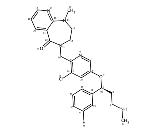 CNCC[C@H](Oc1cnc(CN2CCN(C)c3ncccc3C2=O)c(Cl)c1)c1cccc(F)c1